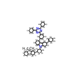 CC1(C)c2ccccc2-c2ccc(-c3cccc(-n4c5ccc(-c6ccccc6)cc5c5c(-c6cccc(-c7nc(-c8ccccc8)nc(-c8ccccc8)n7)c6)cccc54)c3)cc21